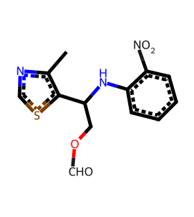 Cc1ncsc1C(COC=O)Nc1ccccc1[N+](=O)[O-]